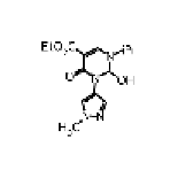 CCOC(=O)C1=CN(C(C)C)C(O)N(c2cnn(C)c2)C1=O